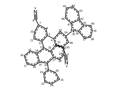 N#Cc1cc(-c2cc(C#N)ccc2-c2c3ccccc3c(-c3ccccc3)c3ccccc23)cc(-n2c3ccccc3c3ccccc32)c1